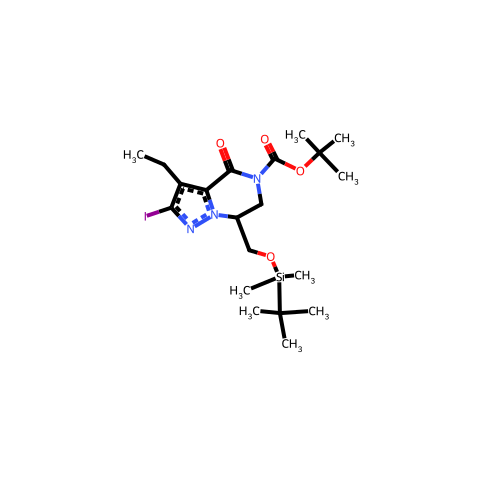 CCc1c(I)nn2c1C(=O)N(C(=O)OC(C)(C)C)CC2CO[Si](C)(C)C(C)(C)C